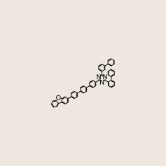 c1ccc(-c2cccc(-c3nc(-c4ccc(-c5ccc(-c6ccc(-c7ccc8c(c7)oc7ccccc78)cc6)cc5)cc4)nc(-c4ccccc4-c4ccccc4)n3)c2)cc1